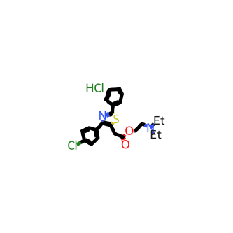 CCN(CC)CCOC(=O)Cc1sc(-c2ccccc2)nc1-c1ccc(Cl)cc1.Cl